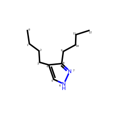 CCCCc1c[nH]nc1CCCC